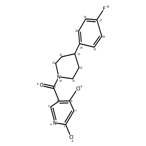 O=C(c1cnc(Cl)cc1Cl)N1CCC(c2ccc(F)cc2)CC1